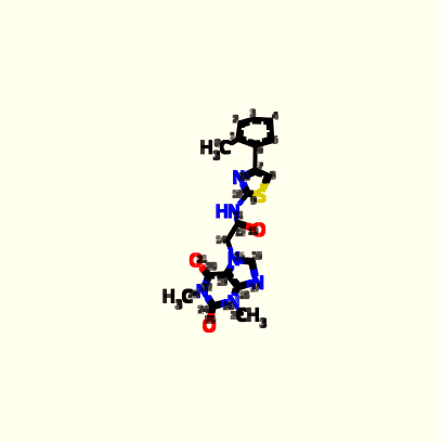 Cc1ccccc1-c1csc(NC(=O)Cn2cnc3c2c(=O)n(C)c(=O)n3C)n1